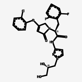 O=C(Nc1ccn(C[C@@H](O)CO)n1)[C@H](Cc1c(F)cccc1F)N1CC(Oc2ccccc2Cl)=CC1=O